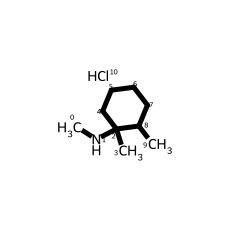 CNC1(C)CCCCC1C.Cl